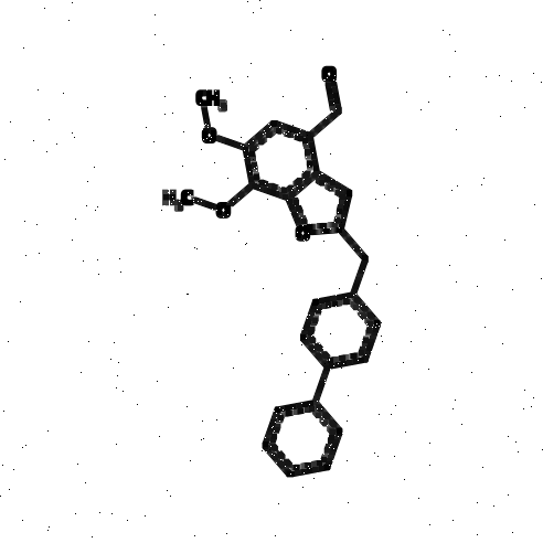 COc1cc(C=O)c2cc(Cc3ccc(-c4ccccc4)cc3)oc2c1OC